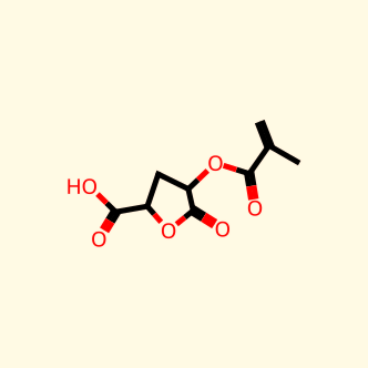 C=C(C)C(=O)OC1CC(C(=O)O)OC1=O